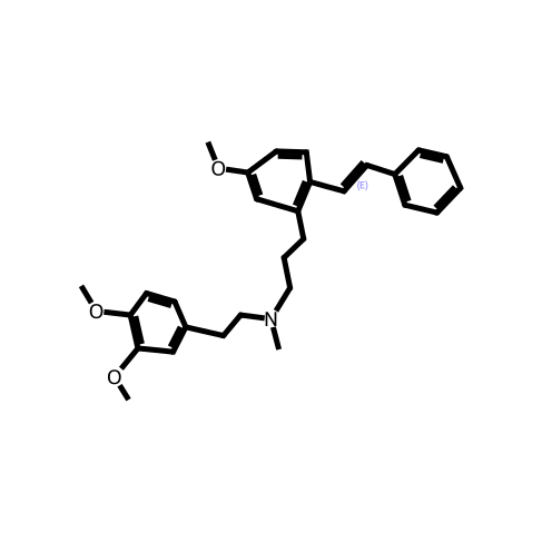 COc1ccc(/C=C/c2ccccc2)c(CCCN(C)CCc2ccc(OC)c(OC)c2)c1